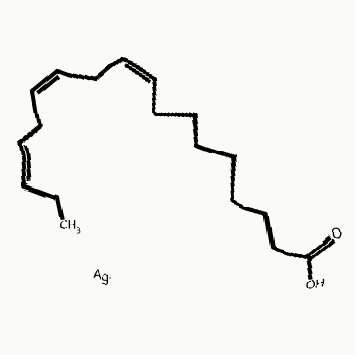 CC/C=C\C/C=C\C/C=C\CCCCCCCC(=O)O.[Ag]